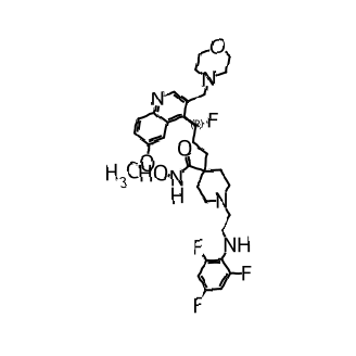 COc1ccc2ncc(CN3CCOCC3)c([C@H](F)CCC3(C(=O)NO)CCN(CCNc4c(F)cc(F)cc4F)CC3)c2c1